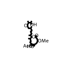 COC1CCC(C)(O)C(OC(C)=O)/C=C/C(C)C(/C(C)=C/C=C/C(C)CC2OC2C(C)C(C)O)OC(=O)C1